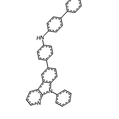 c1ccc(-c2ccc(Nc3ccc(-c4ccc5c(c4)c4cccnc4n5-c4ccccc4)cc3)cc2)cc1